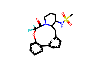 CS(=O)(=O)NC1CCCN2C(=O)C(F)(F)Oc3ccccc3-c3cccc(c3)CC12